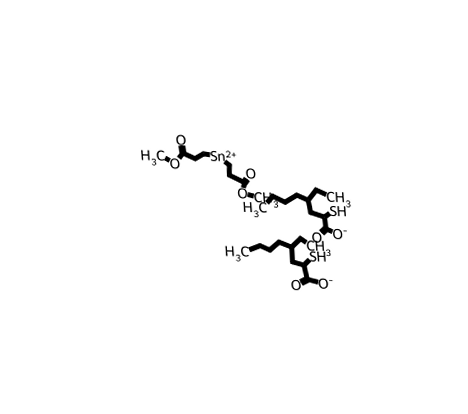 CCCCC(CC)CC(S)C(=O)[O-].CCCCC(CC)CC(S)C(=O)[O-].COC(=O)C[CH2][Sn+2][CH2]CC(=O)OC